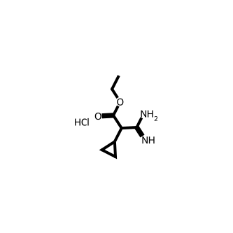 CCOC(=O)C(C(=N)N)C1CC1.Cl